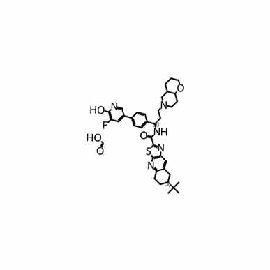 CC(C)(C)[C@H]1CCc2nc3sc(C(=O)N[C@H](CCN4CCC5OCCCC5C4)c4ccc(-c5cnc(O)c(F)c5)cc4)nc3cc2C1.O=CO